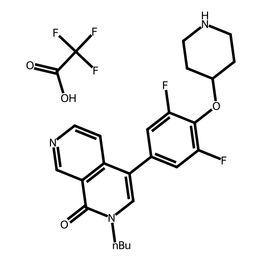 CCCCn1cc(-c2cc(F)c(OC3CCNCC3)c(F)c2)c2ccncc2c1=O.O=C(O)C(F)(F)F